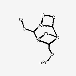 CCCOC1N2ON1C1OON1C2O[O]